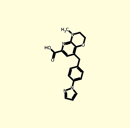 CN1CCOc2c(Cc3ccc(-n4cccn4)cc3)cc(C(=O)O)nc21